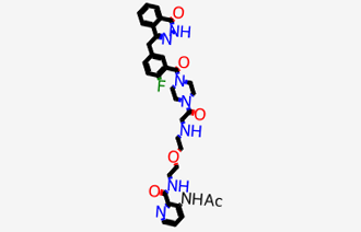 CC(=O)Nc1cccnc1C(=O)NCCOCCNCC(=O)N1CCN(C(=O)c2cc(Cc3n[nH]c(=O)c4ccccc34)ccc2F)CC1